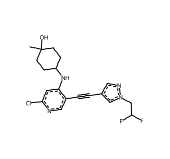 CC1(O)CCC(Nc2cc(Cl)ncc2C#Cc2cnn(CC(F)F)c2)CC1